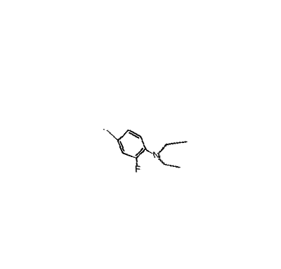 [CH2]c1ccc(N(CC)CC)c(F)c1